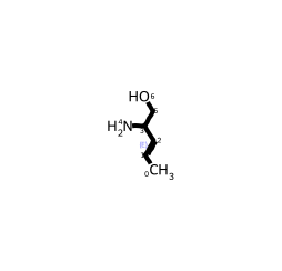 C/C=C/C(N)[CH]O